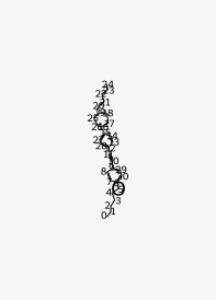 CCCCCOc1ccc(C#Cc2ccc([C@H]3CC[C@H](CCCCC)CC3)cc2)cc1